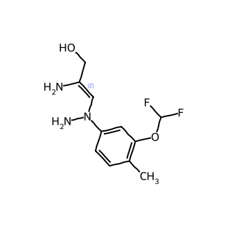 Cc1ccc(N(N)/C=C(\N)CO)cc1OC(F)F